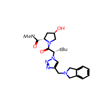 CNC(=O)[C@@H]1C[C@@H](O)CN1C(=O)[C@@H](n1cc(CN2Cc3ccccc3C2)nn1)C(C)(C)C